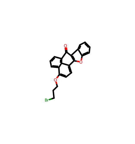 O=C1c2c(oc3ccccc23)-c2ccc(OCCCBr)c3cccc1c23